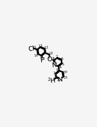 [2H]c1cc(-c2cccc(OCc3ccc(Cl)cc3F)n2)ccn1